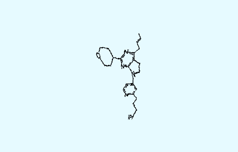 C/C=C/Cc1nc(C2CCOCC2)nc2c1CCN2c1ccnc(CCCC(C)C)c1